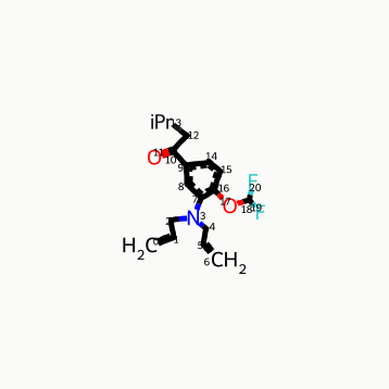 C=CCN(CC=C)c1cc(C(=O)CC(C)C)ccc1OC(F)F